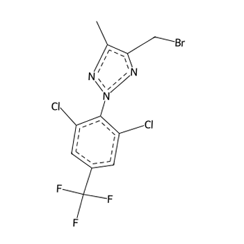 Cc1nn(-c2c(Cl)cc(C(F)(F)F)cc2Cl)nc1CBr